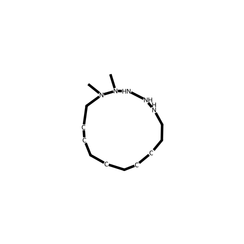 CN1CCCCCCCCCCNNNN1C